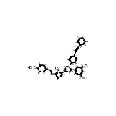 CCn1c(/C=C/c2ccc(C(=O)O)cc2)ccc1C1=NN(c2ccc(C#Cc3ccccc3)cc2)C(c2cc(C(C)(C)C)cc(C(C)(C)C)c2)C1